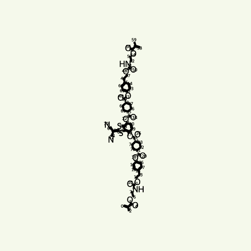 C=C(C)C(=O)OCCNC(=O)OCCc1ccc(OC(=O)[C@H]2CC[C@H](C(=O)Oc3ccc(OC(=O)[C@H]4CC[C@H](C(=O)Oc5ccc(CCOC(=O)NCCOC(=O)C(=C)C)cc5)CC4)c4c3SC(=C(C#N)C#N)S4)CC2)cc1